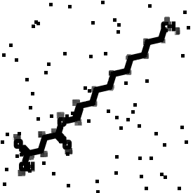 CCCCCCCCCCC=COC(=O)CCC(=O)O